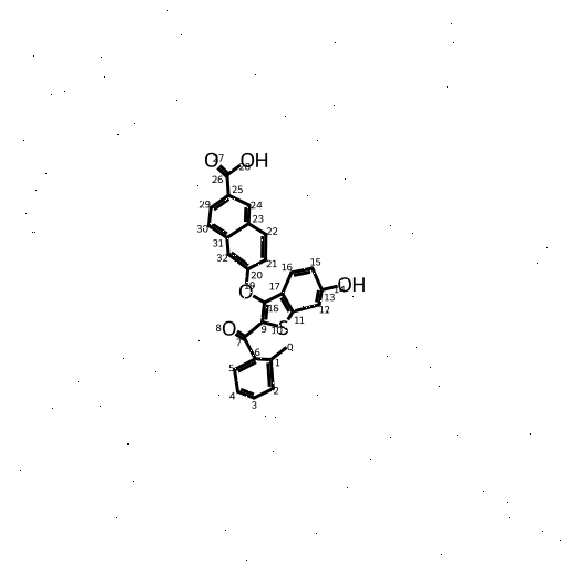 Cc1ccccc1C(=O)c1sc2cc(O)ccc2c1Oc1ccc2cc(C(=O)O)ccc2c1